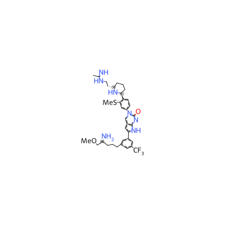 COC[C@H](N)CCCc1cc(-c2cc3cn(-c4ccc([C@@H]5CCC[C@@H](CCNC(C)=N)N5)c(SC)c4)c(=O)nc3[nH]2)cc(C(F)(F)F)c1